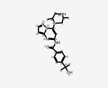 CC1CN(c2cc(NC(=O)c3ccc(C(C)(C)O)cc3)nc3ccnn23)C(C)CN1